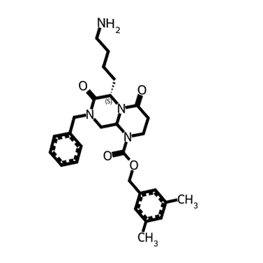 Cc1cc(C)cc(COC(=O)N2CCC(=O)N3C2CN(Cc2ccccc2)C(=O)[C@@H]3CCCCN)c1